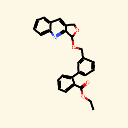 CCOC(=O)c1ccccc1-c1cccc(COC2OCc3cc4ccccc4nc32)c1